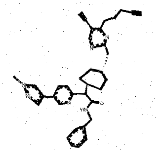 C#CCCCc1nc(C[C@H]2CC[C@H](C(C(=O)NCc3ccccc3)c3ccc(-c4cnn(C)c4)cn3)CC2)ncc1C#C